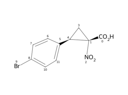 O=C(O)[C@]1([N+](=O)[O-])C[C@@H]1c1ccc(Br)cc1